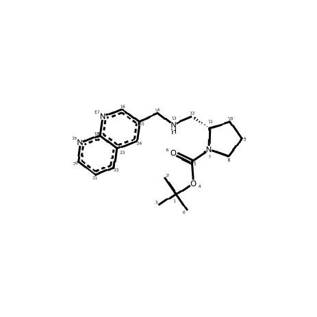 CC(C)(C)OC(=O)N1CCC[C@H]1CNCc1cnc2ncccc2c1